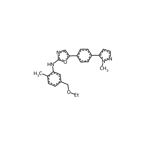 CCOCc1ccc(C)c(Nc2ncc(-c3ccc(-c4ccnn4C)cc3)o2)c1